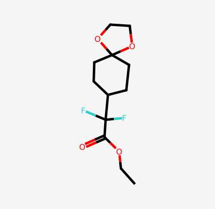 CCOC(=O)C(F)(F)C1CCC2(CC1)OCCO2